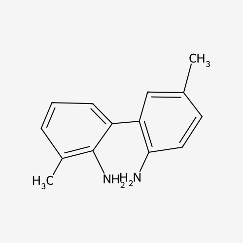 Cc1ccc(N)c(-c2cccc(C)c2N)c1